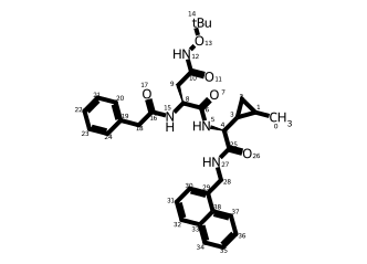 CC1CC1[C@H](NC(=O)[C@H](CC(=O)NOC(C)(C)C)NC(=O)Cc1ccccc1)C(=O)NCc1cccc2ccccc12